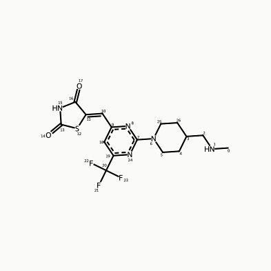 CNCC1CCN(c2nc(/C=C3\SC(=O)NC3=O)cc(C(F)(F)F)n2)CC1